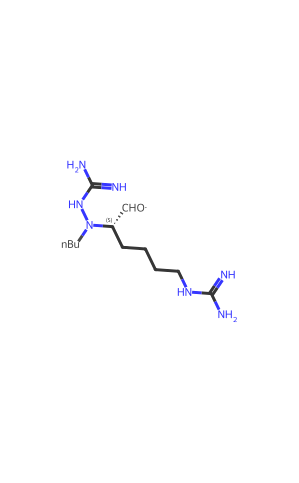 CCCCN(NC(=N)N)[C@H]([C]=O)CCCCNC(=N)N